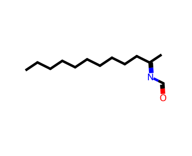 CCCCCCCCCCC(C)=NC=O